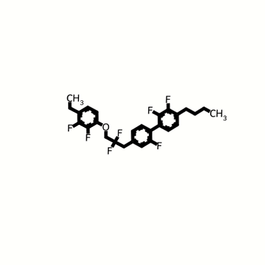 CCCCc1ccc(-c2ccc(CC(F)(F)COc3ccc(CC)c(F)c3F)cc2F)c(F)c1F